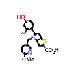 COc1ccc(Cn2c(-c3ccc(O)cc3Cl)cc3sc(C(=O)O)cc32)cn1